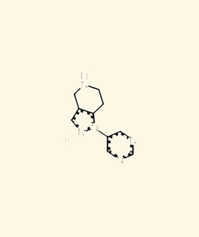 Cl.c1ncc(-n2ncc3c2CCNC3)cn1